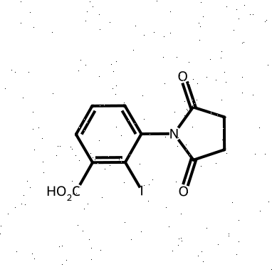 O=C(O)c1cccc(N2C(=O)CCC2=O)c1I